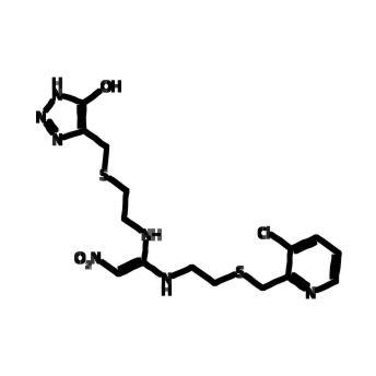 O=[N+]([O-])C=C(NCCSCc1ncccc1Cl)NCCSCc1nn[nH]c1O